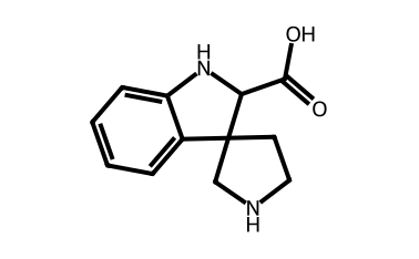 O=C(O)C1Nc2ccccc2C12CCNC2